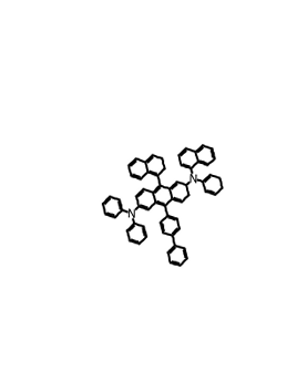 C1=CC(N(c2cccc3ccccc23)C2C=c3c(C4=c5ccccc5=CCC4)c4ccc(N(c5ccccc5)c5ccccc5)cc4c(-c4ccc(-c5ccccc5)cc4)c3=CC2)=CCC1